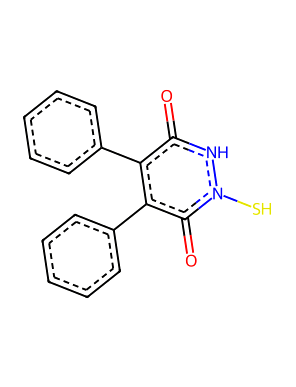 O=c1[nH]n(S)c(=O)c(-c2ccccc2)c1-c1ccccc1